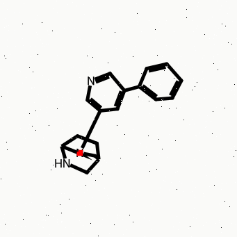 c1ccc(-c2cncc(N3CC4CCC(C3)NC4)c2)cc1